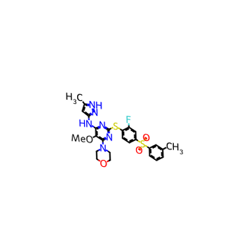 COc1c(Nc2cc(C)[nH]n2)nc(Sc2ccc(S(=O)(=O)c3cccc(C)c3)cc2F)nc1N1CCOCC1